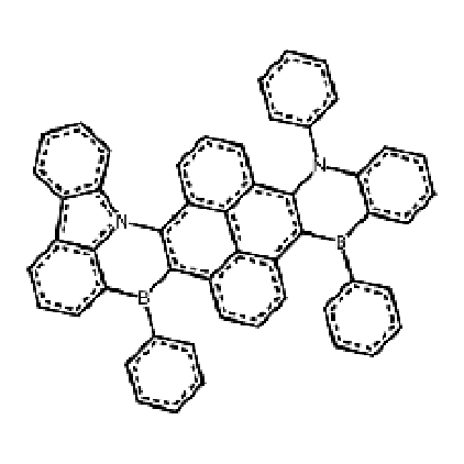 c1ccc(B2c3ccccc3N(c3ccccc3)c3c2c2cccc4c5c(c6cccc3c6c24)-n2c3ccccc3c3cccc(c32)B5c2ccccc2)cc1